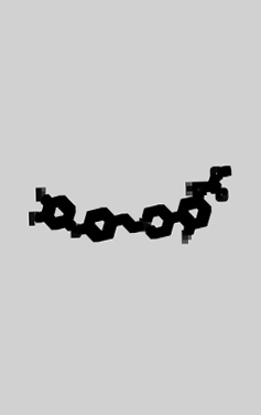 COC(=O)Nc1ccc(F)c(C2CCN(CCc3ccc(Sc4ccc(F)c(F)c4)cc3)CC2)c1